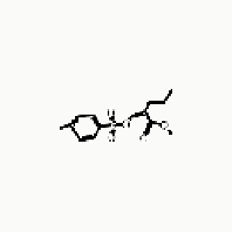 CCCC(=COS(=O)(=O)c1ccc(C)cc1)C(=O)OC